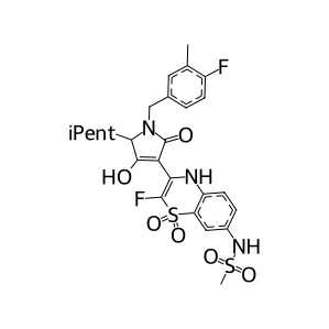 CCCC(C)C1C(O)=C(C2=C(F)S(=O)(=O)c3cc(NS(C)(=O)=O)ccc3N2)C(=O)N1Cc1ccc(F)c(C)c1